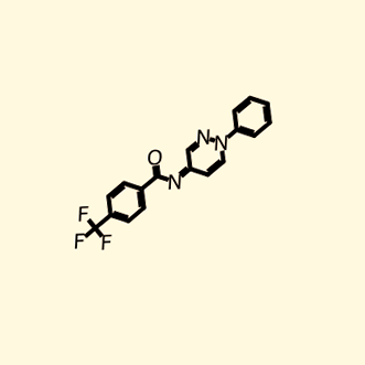 O=C(N=c1ccn(-c2ccccc2)nc1)c1ccc(C(F)(F)F)cc1